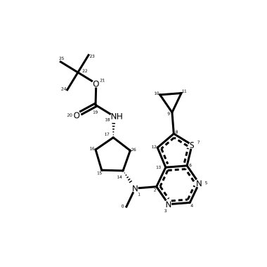 CN(c1ncnc2sc(C3CC3)cc12)[C@@H]1CC[C@H](NC(=O)OC(C)(C)C)C1